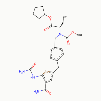 CC(C)C[C@H](C(=O)OC1CCCC1)N(Cc1ccc(Cc2cc(C(N)=O)c(NC(N)=O)s2)cc1)C(=O)OC(C)(C)C